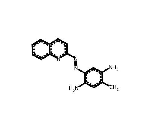 Cc1cc(N)c(N=Nc2ccc3ccccc3n2)cc1N